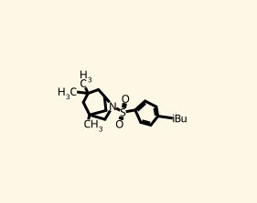 CCC(C)c1ccc(S(=O)(=O)N2CC3(C)CC2CC(C)(C)C3)cc1